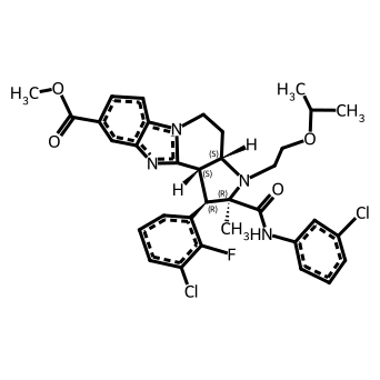 COC(=O)c1ccc2c(c1)nc1n2CC[C@H]2[C@@H]1[C@H](c1cccc(Cl)c1F)[C@](C)(C(=O)Nc1cccc(Cl)c1)N2CCOC(C)C